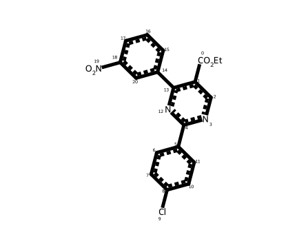 CCOC(=O)c1cnc(-c2ccc(Cl)cc2)nc1-c1cccc([N+](=O)[O-])c1